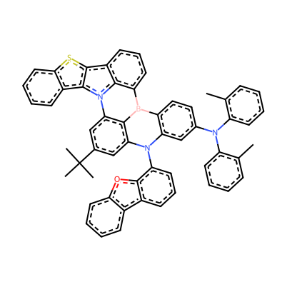 Cc1ccccc1N(c1ccc2c(c1)N(c1cccc3c1oc1ccccc13)c1cc(C(C)(C)C)cc3c1B2c1cccc2c4sc5ccccc5c4n-3c12)c1ccccc1C